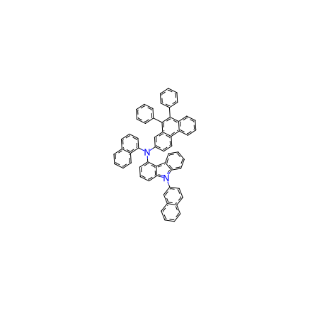 c1ccc(-c2c(-c3ccccc3)c3cc(N(c4cccc5ccccc45)c4cccc5c4c4ccccc4n5-c4ccc5ccccc5c4)ccc3c3ccccc23)cc1